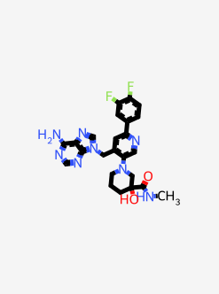 CNC(=O)C1(O)CCCN(c2cnc(-c3ccc(F)c(F)c3)cc2Cn2cnc3c(N)ncnc32)C1